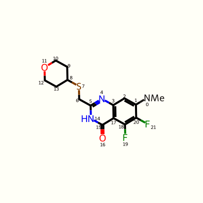 CNc1cc2nc(CSC3CCOCC3)[nH]c(=O)c2c(F)c1F